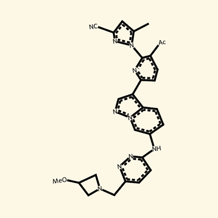 COC1CN(Cc2ccc(Nc3ccc4c(-c5ccc(C(C)=O)c(-n6nc(C#N)cc6C)n5)cnn4c3)nn2)C1